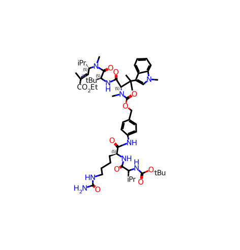 CCOC(=O)/C(C)=C/[C@H](C(C)C)N(C)C(=O)[C@@H](NC(=O)[C@@H](N(C)C(=O)OCc1ccc(NC(=O)[C@H](CCCCNC(N)=O)NC(=O)C(NC(=O)OC(C)(C)C)C(C)C)cc1)C(C)(C)c1cn(C)c2ccccc12)C(C)(C)C